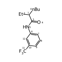 CCCCC(CC)C(=O)Nc1cccc(C(F)(F)F)c1